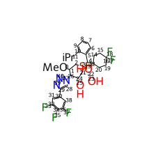 CO[C@H]1C[SH]([C@H](c2ccccc2C(C)C)C2(O)CCC(F)(F)CC2)[C@H](CO)[C@H](O)[C@@H]1n1cc(-c2cc(F)c(F)c(F)c2)nn1